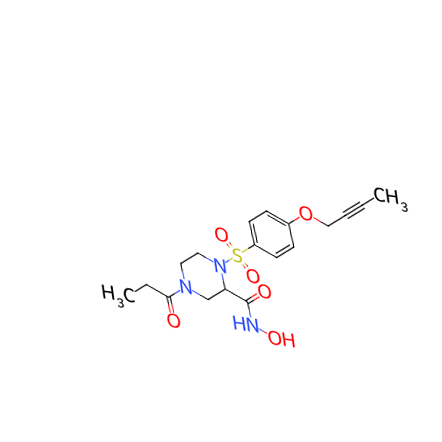 CC#CCOc1ccc(S(=O)(=O)N2CCN(C(=O)CC)CC2C(=O)NO)cc1